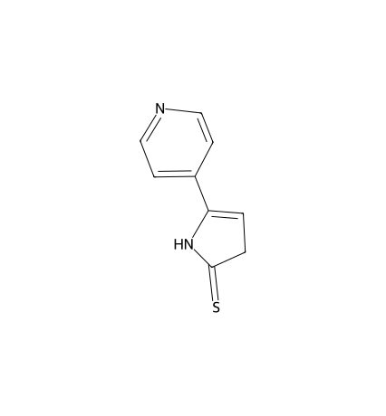 S=C1CC=C(c2ccncc2)N1